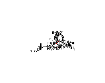 CCCCCCc1ccc(S(=O)(=O)NCCCCCCNCc2c(O)cc3c(c2C)-c2cc(ccc2O)[C@H]2NC(=O)[C@@H]4NC(=O)[C@H](CC(N)=O)NC(=O)[C@H](NC(=O)[C@@H](CC(C)C)NC)[C@H](O)c5ccc(c(C)c5)Oc5cc4cc(c5O[C@@H]4O[C@H](CO)[C@@H](O)[C@H](O)[C@H]4O[C@H]4C[C@](C)(NC(=O)CN)[C@H](O)[C@H](C)O4)Oc4ccc(cc4Cl)[C@@H](O)[C@H](NC2=O)C(=O)N[C@@H]3C(=O)O)cc1